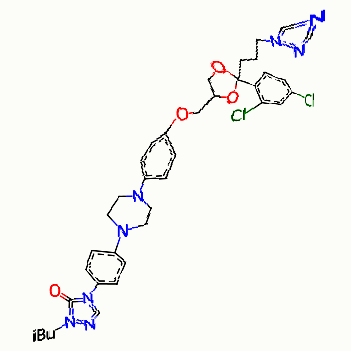 CCC(C)n1ncn(-c2ccc(N3CCN(c4ccc(OCC5COC(CCCn6cncn6)(c6ccc(Cl)cc6Cl)O5)cc4)CC3)cc2)c1=O